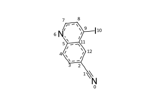 N#Cc1ccc2nccc(I)c2c1